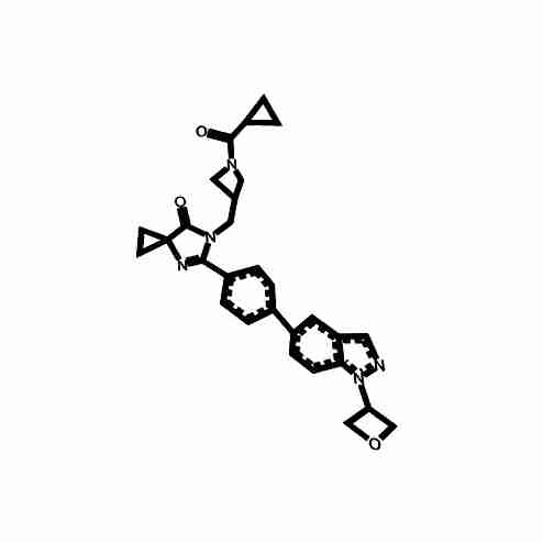 O=C(C1CC1)N1CC(CN2C(=O)C3(CC3)N=C2c2ccc(-c3ccc4c(cnn4C4COC4)c3)cc2)C1